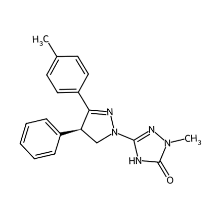 Cc1ccc(C2=NN(c3nn(C)c(=O)[nH]3)C[C@H]2c2ccccc2)cc1